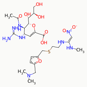 CC(=O)N[C@H]1[C@H]([C@H](O)[C@H](O)CO)OC(C(=O)O)=C[C@@H]1NC(=N)N.CN/C(=C/[N+](=O)[O-])NCCSCc1ccc(CN(C)C)o1